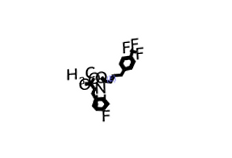 COC(=O)C(Cc1ccc(F)cc1)NC(=O)/C=C/Cc1ccc(C(F)(F)F)cc1